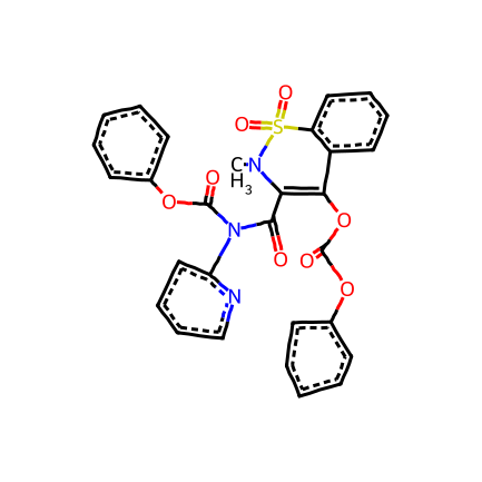 CN1C(C(=O)N(C(=O)Oc2ccccc2)c2ccccn2)=C(OC(=O)Oc2ccccc2)c2ccccc2S1(=O)=O